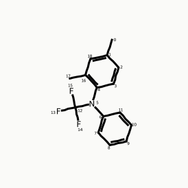 Cc1ccc(N(c2ccccc2)C(F)(F)F)c(C)c1